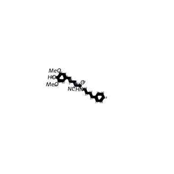 COc1cc(/C=C/C=C(\C#N)C(=O)NCCCCc2ccccc2)cc(OC)c1O